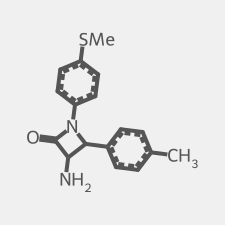 CSc1ccc(N2C(=O)C(N)C2c2ccc(C)cc2)cc1